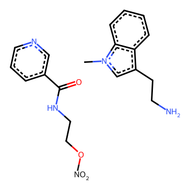 Cn1cc(CCN)c2ccccc21.O=C(NCCO[N+](=O)[O-])c1cccnc1